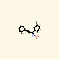 O/N=C(/C#Cc1ccccc1)c1cccc(Cl)c1